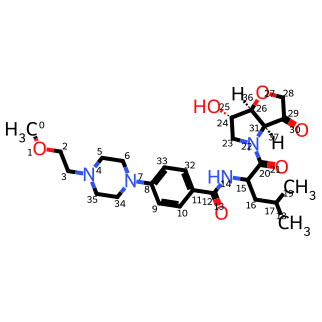 COCCN1CCN(c2ccc(C(=O)NC(CC(C)C)C(=O)N3C[C@H](O)[C@H]4OCC(=O)[C@H]43)cc2)CC1